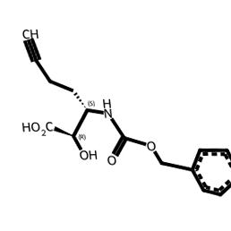 C#CCC[C@H](NC(=O)OCc1ccccc1)[C@@H](O)C(=O)O